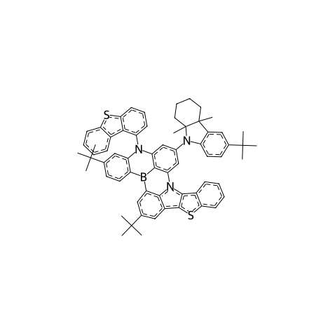 CC(C)(C)c1ccc2c(c1)N(c1cccc3sc4ccccc4c13)c1cc(N3c4ccc(C(C)(C)C)cc4C4(C)CCCCC34C)cc3c1B2c1cc(C(C)(C)C)cc2c4sc5ccccc5c4n-3c12